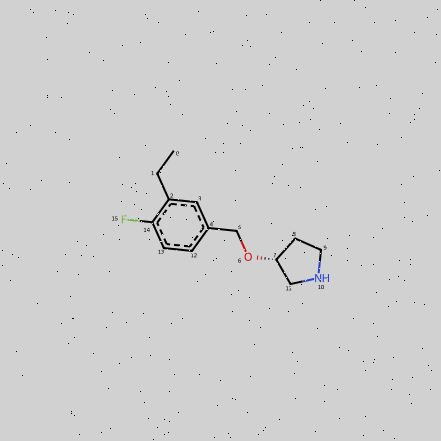 CCc1cc(CO[C@@H]2CCNC2)ccc1F